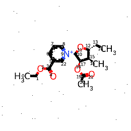 CCOC(=O)c1ccc[n+]([C@@H]2O[C@H](CC)[C@@H](C)[C@H]2OC(C)=O)c1